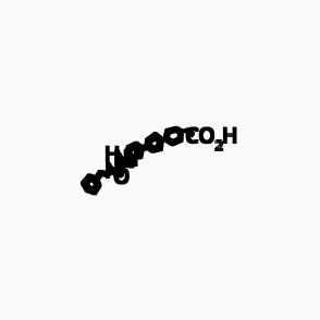 O=C(O)C[C@H]1CC[C@H](c2ccc(-c3ccc4nc(C(=O)NCCc5ccccc5)cn4c3)cc2)CC1